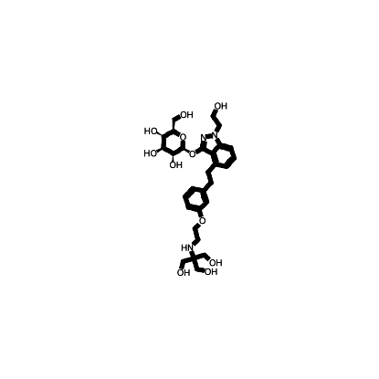 OCCn1nc(O[C@@H]2O[C@H](CO)[C@@H](O)[C@H](O)[C@H]2O)c2c(CCc3cccc(OCCNC(CO)(CO)CO)c3)cccc21